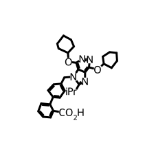 CC(C)c1nc2c(OC3CCCCC3)nnc(OC3CCCCC3)c2n1Cc1ccc(-c2ccccc2C(=O)O)cc1